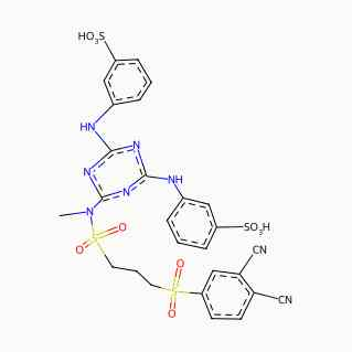 CN(c1nc(Nc2cccc(S(=O)(=O)O)c2)nc(Nc2cccc(S(=O)(=O)O)c2)n1)S(=O)(=O)CCCS(=O)(=O)c1ccc(C#N)c(C#N)c1